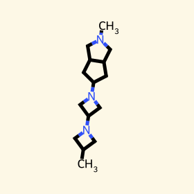 CC1CN(C2CN(C3CC4CN(C)CC4C3)C2)C1